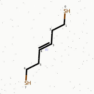 SCC/C=C/CCS